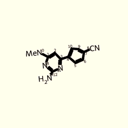 CNc1cc(-c2ccc(C#N)cc2)nc(N)n1